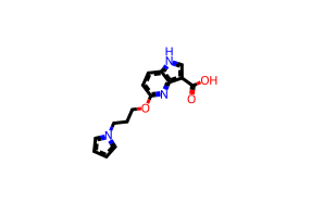 O=C(O)c1c[nH]c2ccc(OCCCn3cccc3)nc12